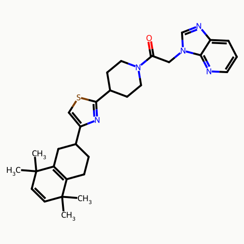 CC1(C)C=CC(C)(C)C2=C1CCC(c1csc(C3CCN(C(=O)Cn4cnc5cccnc54)CC3)n1)C2